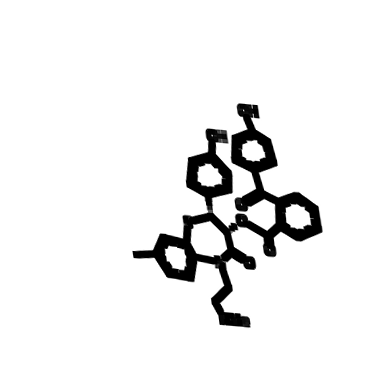 CNCCN1C(=O)[C@@H](OC(=O)c2ccccc2C(=O)c2ccc(O)cc2)[C@@H](c2ccc(O)cc2)Sc2cc(C)ccc21